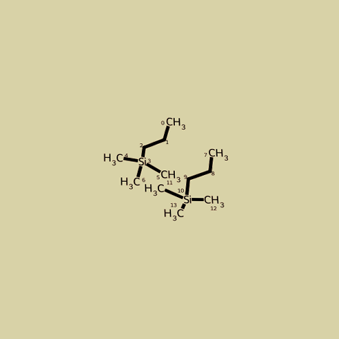 CCC[Si](C)(C)C.CCC[Si](C)(C)C